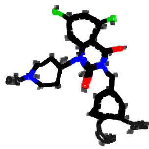 COc1ccc(Cn2c(=O)c3c(Cl)cc(Cl)cc3n(C3CCN(C=O)CC3)c2=O)cc1OC